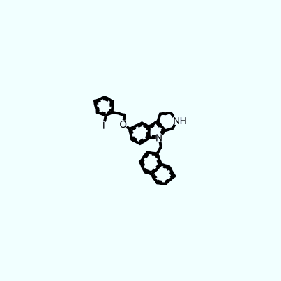 Ic1ccccc1COc1ccc2c(c1)c1c(n2Cc2cccc3ccccc23)CNCC1